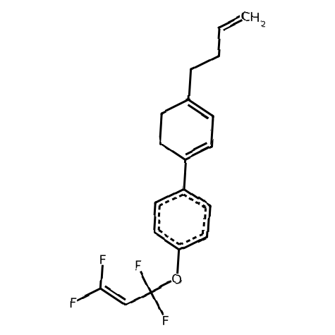 C=CCCC1=CC=C(c2ccc(OC(F)(F)C=C(F)F)cc2)CC1